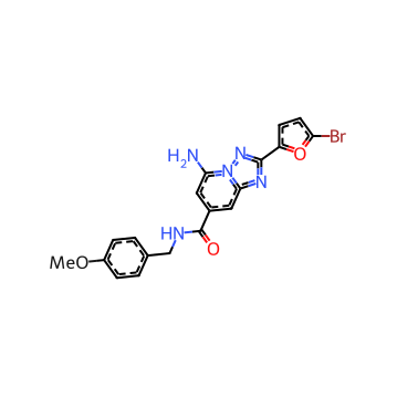 COc1ccc(CNC(=O)c2cc(N)n3nc(-c4ccc(Br)o4)nc3c2)cc1